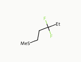 [CH2]CC(F)(F)CCSC